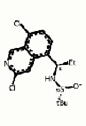 CC[C@@H](N[S@+]([O-])C(C)(C)C)c1ccc(Cl)c2cnc(Cl)cc12